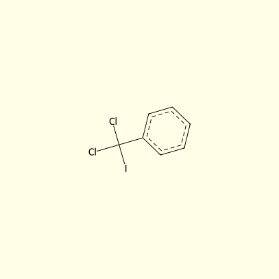 ClC(Cl)(I)c1ccccc1